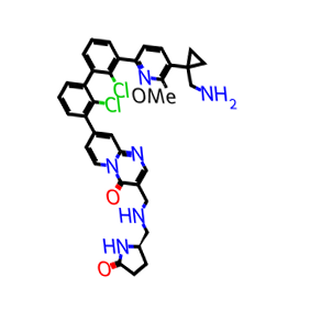 COc1nc(-c2cccc(-c3cccc(-c4ccn5c(=O)c(CNC[C@H]6CCC(=O)N6)cnc5c4)c3Cl)c2Cl)ccc1C1(CN)CC1